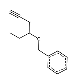 C#C[CH]C(CC)OCc1ccccc1